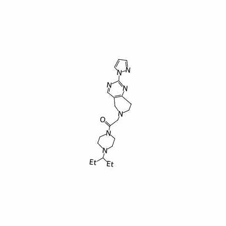 CCC(CC)N1CCN(C(=O)CN2CCc3nc(-n4cccn4)ncc3C2)CC1